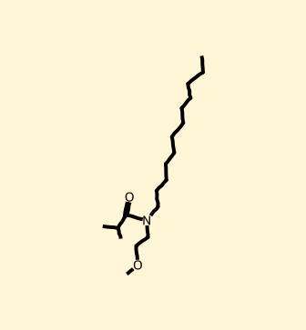 CCCCCCCCCCCCN(CCOC)C(=O)C(C)C